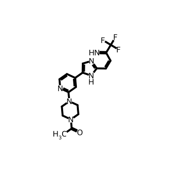 CC(=O)N1CCN(c2cc(-c3cnc(/C=C\C(=N)C(F)(F)F)[nH]3)ccn2)CC1